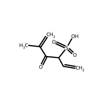 C=CC(C(=O)C(=C)C)S(=O)(=O)O